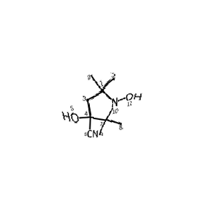 CC1(C)CC(O)(C#N)C(C)(C)N1O